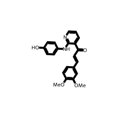 COc1ccc(/C=C/C(=O)c2cccnc2Nc2ccc(O)cc2)cc1OC